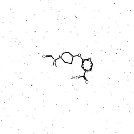 O=CBN1CCC(Oc2cc(C(=O)O)ccn2)CC1